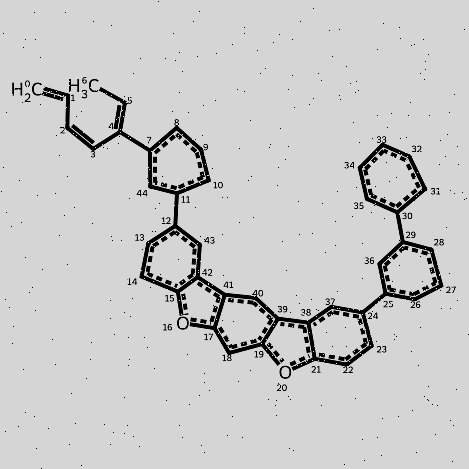 C=C/C=C\C(=C/C)c1cccc(-c2ccc3oc4cc5oc6ccc(-c7cccc(-c8ccccc8)c7)cc6c5cc4c3c2)c1